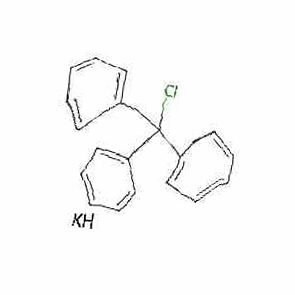 ClC(c1ccccc1)(c1ccccc1)c1ccccc1.[KH]